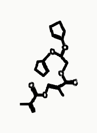 C=C(C)C(=O)OC=C(C)C(=O)OCC(OC1=CCCC1)OC1=CCCC1